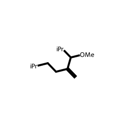 C=C(CCC(C)C)C(OC)C(C)C